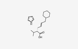 CC(C)[C@H](CC=CCC1CCCCC1)C(=O)O.c1cc[nH]c1